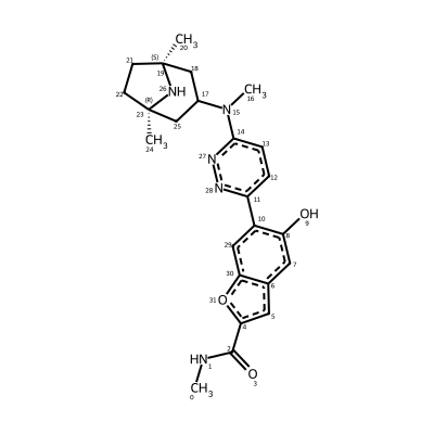 CNC(=O)c1cc2cc(O)c(-c3ccc(N(C)C4C[C@]5(C)CC[C@](C)(C4)N5)nn3)cc2o1